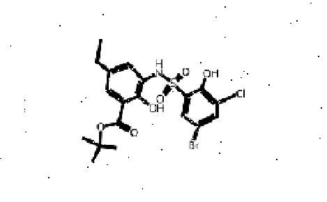 CCc1cc(NS(=O)(=O)c2cc(Br)cc(Cl)c2O)c(O)c(C(=O)OC(C)(C)C)c1